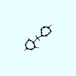 CC(C)(c1ccc(O)cc1)c1c(O)cc(O)cc1O